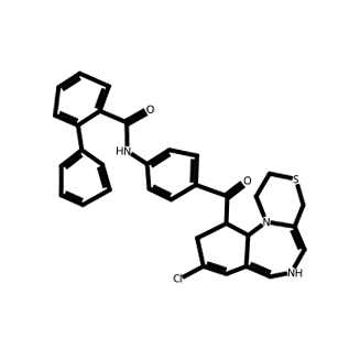 O=C(Nc1ccc(C(=O)C2CC(Cl)=CC3=CNC=C4CSCCN4C32)cc1)c1ccccc1-c1ccccc1